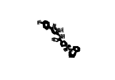 O=C(Nc1cc(-c2ccc(F)cc2)n[nH]1)c1ccc(S(=O)(=O)N2CCCc3ccccc32)cc1